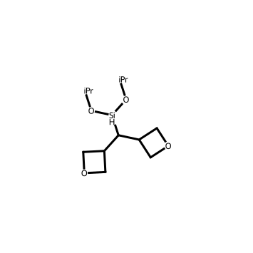 CC(C)O[SiH](OC(C)C)C(C1COC1)C1COC1